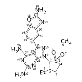 C.CCC1CCS(=O)(=O)C1n1nc(-c2ccc3oc(N)nc3c2)c2c(N)nc(N)nc21